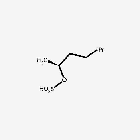 CC(C)CC[C@H](C)OS(=O)(=O)O